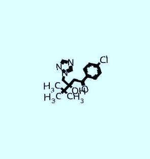 CC(C)(C)C(O)(CC(=O)c1ccc(Cl)cc1)Cn1cncn1